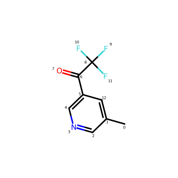 Cc1cncc(C(=O)C(F)(F)F)c1